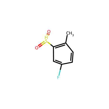 Cc1ccc(F)cc1[SH](=O)=O